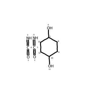 N=C=O.N=C=O.OC1CCC(O)CC1